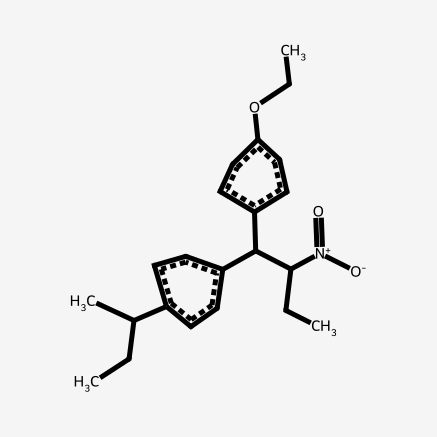 CCOc1ccc(C(c2ccc(C(C)CC)cc2)C(CC)[N+](=O)[O-])cc1